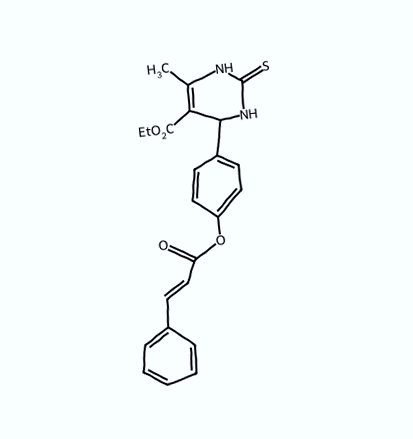 CCOC(=O)C1=C(C)NC(=S)NC1c1ccc(OC(=O)/C=C/c2ccccc2)cc1